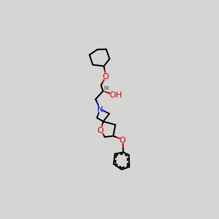 O[C@H](COC1CCCCC1)CN1CC2(CC(Oc3ccccc3)CO2)C1